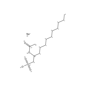 CCCCCCCCCCC(CS(=O)(=O)[O-])OC(C)=O.[Na+]